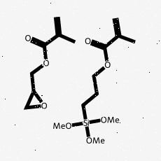 C=C(C)C(=O)OCC1CO1.C=C(C)C(=O)OCCC[Si](OC)(OC)OC